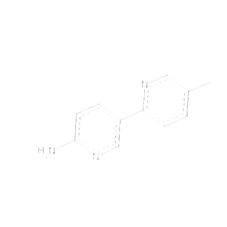 Cc1ccc(-c2ccc(N)nc2)nc1